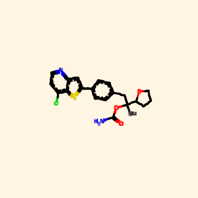 CC(C)(C)C(Cc1ccc(-c2cc3nccc(Cl)c3s2)cc1)(OC(N)=O)C1CCCO1